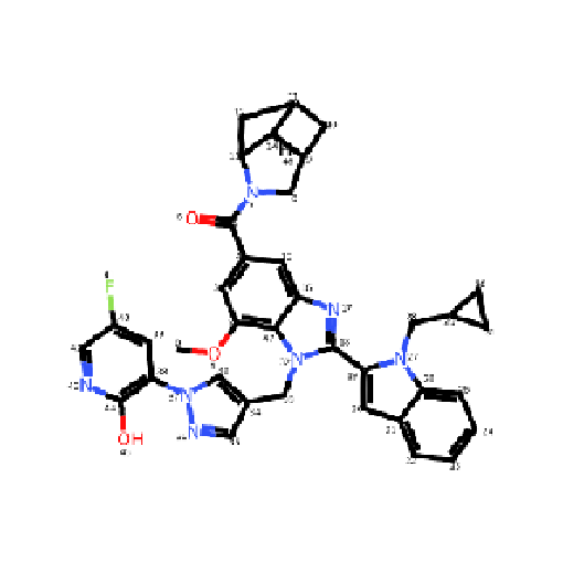 COc1cc(C(=O)N2CC3CC4CC2[C@H]43)cc2nc(-c3cc4ccccc4n3CC3CC3)n(Cc3cnn(-c4cc(F)cnc4O)c3)c12